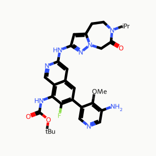 COc1c(N)cncc1-c1cc2cc(Nc3cc4n(n3)CC(=O)N(C(C)C)CC4)ncc2c(NC(=O)OC(C)(C)C)c1F